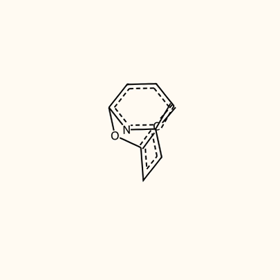 c1cc2nc3ccc2cc1O3